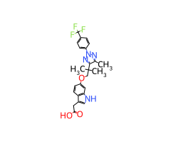 Cc1nn(-c2ccc(C(F)(F)F)cc2)nc1C(C)(C)COc1ccc2c(CC(=O)O)c[nH]c2c1